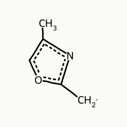 [CH2]c1nc(C)co1